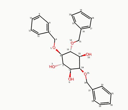 O[C@H]1[C@H](O)[C@@H](OCc2ccccc2)[C@H](OCc2ccccc2)[C@@H](O)[C@H]1OCc1ccccc1